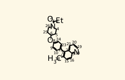 CCC(=O)N1CCC(Oc2ccc(-c3c(C)ccc4ncccc34)cc2)CC1